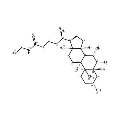 CC[C@H]1[C@@H](O)C2[C@@H]3CC[C@H]([C@H](C)CCOC(=O)NCC(C)C)C3(C)CC[C@@H]2C2(C)CC[C@@H](O)C[C@@H]12